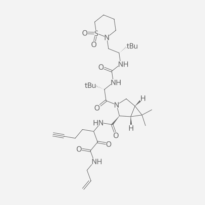 C#CCCC(NC(=O)[C@@H]1[C@@H]2[C@H](CN1C(=O)[C@@H](NC(=O)N[C@H](CN1CCCCS1(=O)=O)C(C)(C)C)C(C)(C)C)C2(C)C)C(=O)C(=O)NCC=C